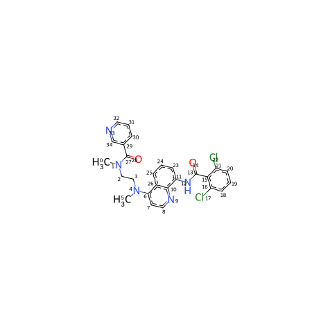 CN(CCN(C)c1ccnc2c(NC(=O)c3c(Cl)cccc3Cl)cccc12)C(=O)c1cccnc1